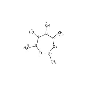 CB1OC(C)C(O)C(O)C(C)O1